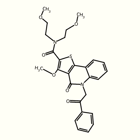 COCCN(CCOC)C(=O)c1sc2c(c1OC)c(=O)n(CC(=O)c1ccccc1)c1ccccc21